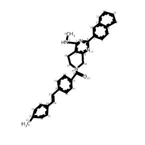 CNc1nc(-c2ccc3ccccc3c2)nc2c1CCN(C(=O)c1ccc(/C=C/c3ccc(C)cc3)cc1)C2